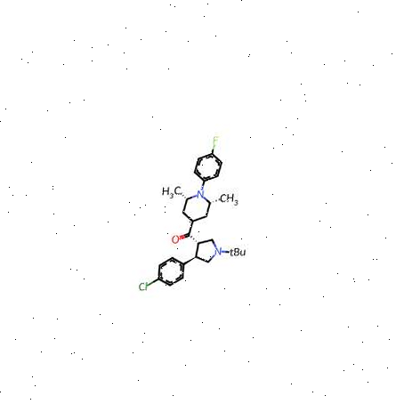 C[C@@H]1CC(C(=O)[C@@H]2CN(C(C)(C)C)C[C@H]2c2ccc(Cl)cc2)C[C@H](C)N1c1ccc(F)cc1